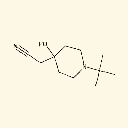 CC(C)(C)N1CCC(O)(CC#N)CC1